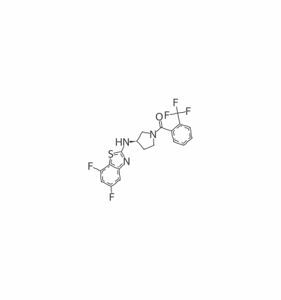 O=C(c1ccccc1C(F)(F)F)N1CC[C@@H](Nc2nc3cc(F)cc(F)c3s2)C1